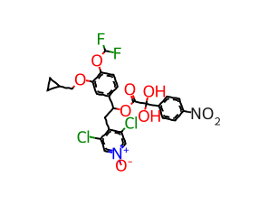 O=C(OC(Cc1c(Cl)c[n+]([O-])cc1Cl)c1ccc(OC(F)F)c(OCC2CC2)c1)C(O)(O)c1ccc([N+](=O)[O-])cc1